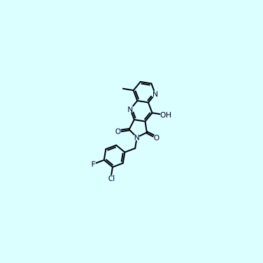 Cc1ccnc2c(O)c3c(nc12)C(=O)N(Cc1ccc(F)c(Cl)c1)C3=O